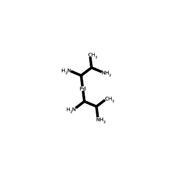 CC(N)[CH](N)[Pd][CH](N)C(C)N